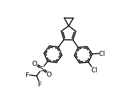 O=S(=O)(c1ccc(C2=CC3(C=C2c2ccc(Cl)c(Cl)c2)CC3)cc1)C(F)F